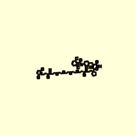 O=C(CCOCCOCCOCCOCCNC(=O)CCN1C(=O)C=CC1=O)NCCC1(C(=O)N[C@@H](Cc2ccc(NC(=O)c3c(Cl)cccc3Cl)cc2)C(=O)O)CCCC1